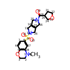 CN1CCOc2ccc(S(=O)(=O)N3CC4=C(CN(C(=O)C5CCOC5)C4)C3)cc21